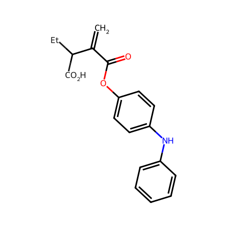 C=C(C(=O)Oc1ccc(Nc2ccccc2)cc1)C(CC)C(=O)O